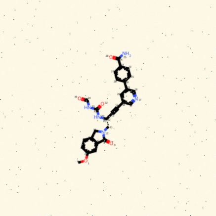 COc1ccc2c(c1)C(=O)N(C[C@@H](C#Cc1cncc(-c3ccc(C(N)=O)cc3)c1)NC(=O)NC=O)C2